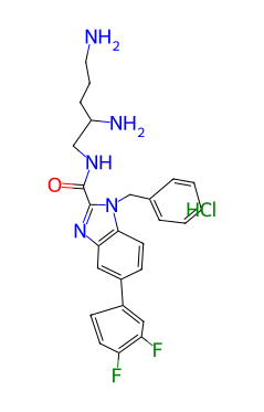 Cl.NCCCC(N)CNC(=O)c1nc2cc(-c3ccc(F)c(F)c3)ccc2n1Cc1ccccc1